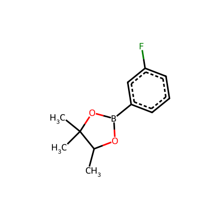 CC1OB(c2cccc(F)c2)OC1(C)C